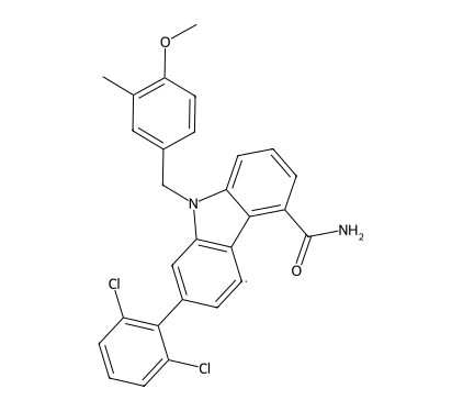 COc1ccc(Cn2c3cc(-c4c(Cl)cccc4Cl)c[c]c3c3c(C(N)=O)cccc32)cc1C